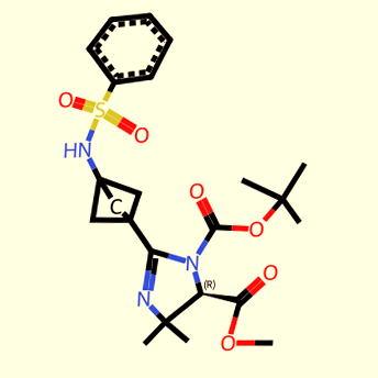 COC(=O)[C@@H]1N(C(=O)OC(C)(C)C)C(C23CC(NS(=O)(=O)c4ccccc4)(C2)C3)=NC1(C)C